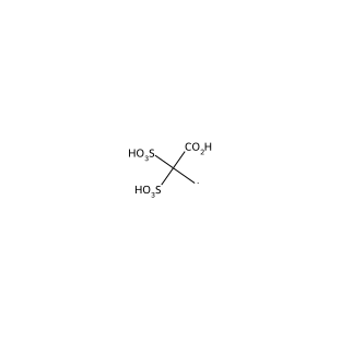 [CH2]C(C(=O)O)(S(=O)(=O)O)S(=O)(=O)O